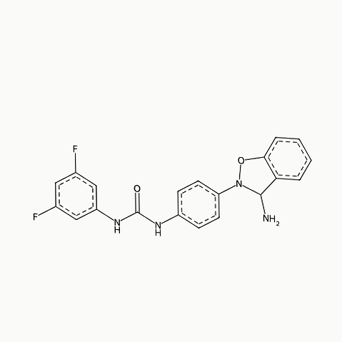 NC1c2ccccc2ON1c1ccc(NC(=O)Nc2cc(F)cc(F)c2)cc1